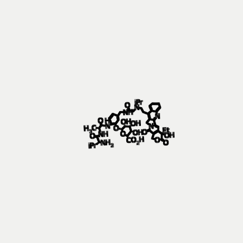 CC[C@@]1(O)C(=O)OCc2c1cc1n(c2=O)Cc2c-1nc1ccccc1c2CCN(CC(=O)NCc1ccc(NC(=O)[C@H](C)NC(=O)[C@@H](N)C(C)C)c(O[C@@H]2O[C@H](C(=O)O)[C@@H](O)[C@H](O)[C@H]2O)c1)C(C)C